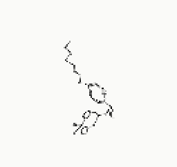 CCCCCCCCc1ccc(CN(C)C2COC(C)(C)OC2)cc1